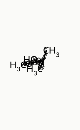 CCCCCCCCC(CCCCCC)CC(=O)OCC(CO)CCCCOCCCC